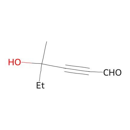 CCC(C)(O)C#CC=O